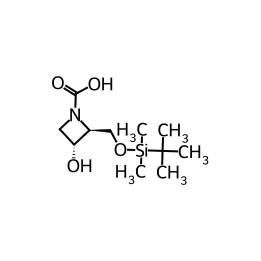 CC(C)(C)[Si](C)(C)OC[C@H]1[C@H](O)CN1C(=O)O